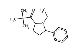 CCN1C(C(=O)C(C)(C)C)CCC1c1ccccc1